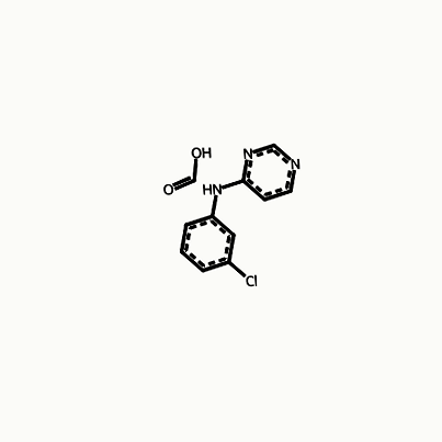 Clc1cccc(Nc2ccncn2)c1.O=CO